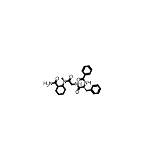 CN(C(=O)CNC(=O)[C@H](Cc1ccccc1)NC(=O)c1ccccc1)C1CCCCC1C(N)=O